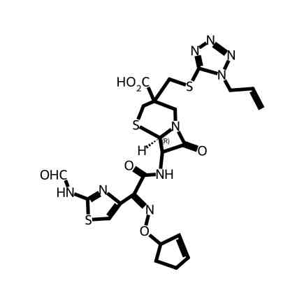 C=CCn1nnnc1SCC1(C(=O)O)CS[C@@H]2C(NC(=O)C(=NOC3C=CCC3)c3csc(NC=O)n3)C(=O)N2C1